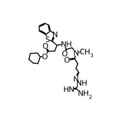 CN(CC(=O)NC(CC(=O)OC1CCCCC1)c1nc2ccccc2s1)C(=O)CCC=NNC(=N)N